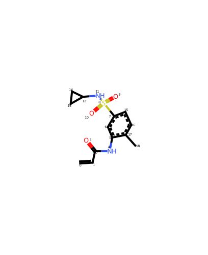 C=CC(=O)Nc1cc(S(=O)(=O)NC2CC2)ccc1C